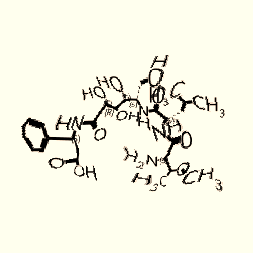 COC(C)[C@H](N)C(=O)N[C@@H](CC(C)C)C(=O)N[C@@H](CO)[C@@H](O)[C@@H](O)[C@H](O)C(=O)N[C@@H](CC(=O)O)c1ccccc1